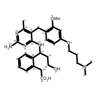 COc1cc(OCCCN(C)C)ccc1Cc1c(C)nc(N)nc1NC(CCO)c1ccccc1CC(=O)O